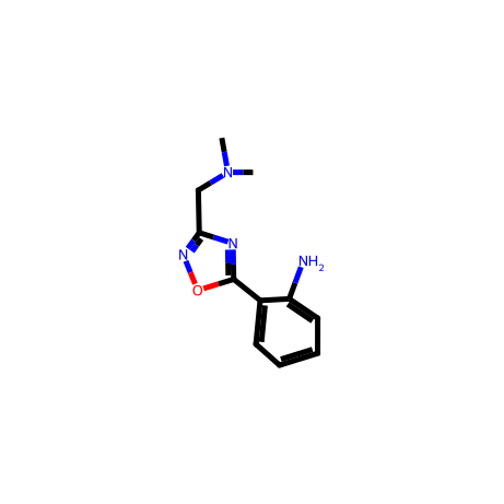 CN(C)Cc1noc(-c2ccccc2N)n1